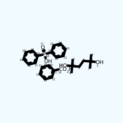 CC(C)(O)CCC(C)(C)O.O=C(O)c1ccccc1.O=P(O)(c1ccccc1)c1ccccc1